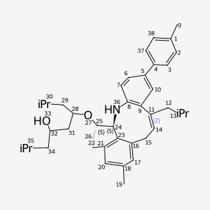 Cc1ccc(-c2ccc3c(c2)/C(CC(C)C)=C\Cc2cc(C)cc(C)c2[C@@H]([C@H](C)OC(CC(C)C)CC(O)CC(C)C)N3)cc1